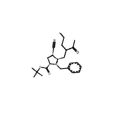 CCCC(C[C@@H]1[C@H](C#N)C[C@H](C(=O)OC(C)(C)C)N1Cc1ccccc1)C(C)=O